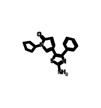 Nc1nc(-c2ccccc2)c(-c2ccc(=O)n(C3CCCC3)c2)s1